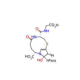 [2H]C1C2=CN([C@H](C(=O)O)CCC(=O)N[C@H](C(=O)NCC(=O)O)CS2)C1(O)CCCCC